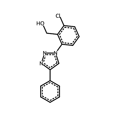 OCc1c(Cl)cccc1-n1cc(-c2ccccc2)nn1